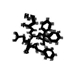 CC(C)CCN(C(=O)OCc1ccccc1)[C@@H](CCC(F)CN)CO[Si](c1ccccc1)(c1ccccc1)C(C)(C)C